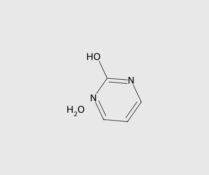 O.Oc1ncccn1